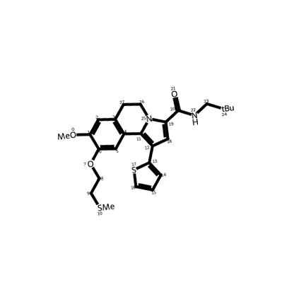 COc1cc2c(cc1OCCSC)-c1c(-c3cccs3)cc(C(=O)NCC(C)(C)C)n1CC2